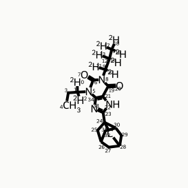 [2H]C([2H])(CC)n1c(=O)n(C([2H])([2H])C([2H])([2H])C([2H])([2H])[2H])c(=O)c2[nH]c(C34CC5CC(CC3C5)C4)nc21